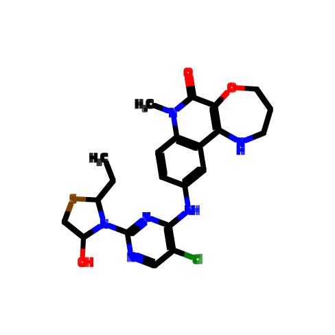 CCC1SCC(O)N1c1ncc(Cl)c(Nc2ccc3c(c2)c2c(c(=O)n3C)OCCCN2)n1